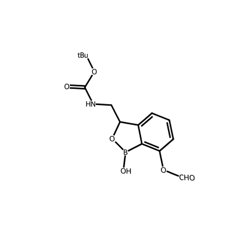 CC(C)(C)OC(=O)NCC1OB(O)c2c(OC=O)cccc21